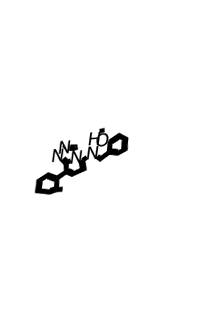 COc1ccccc1CNc1ccc(-c2ccccc2C)c2nncn12